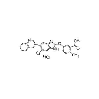 Cc1ccc(Oc2nc3cc(-c4cnc5ccccc5c4)c(Cl)cc3[nH]2)cc1C(=O)O.Cl